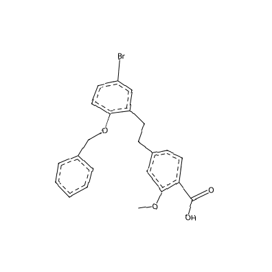 COc1cc(CCc2cc(Br)ccc2OCc2ccccc2)ccc1C(=O)O